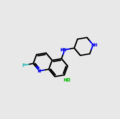 Cl.Fc1ccc2c(NC3CCNCC3)cccc2n1